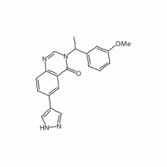 COc1cccc(C(C)n2cnc3ccc(-c4cn[nH]c4)cc3c2=O)c1